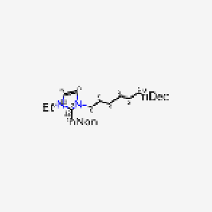 CCCCCCCCCCCCCCCCN1C=CN(CC)C1CCCCCCCCC